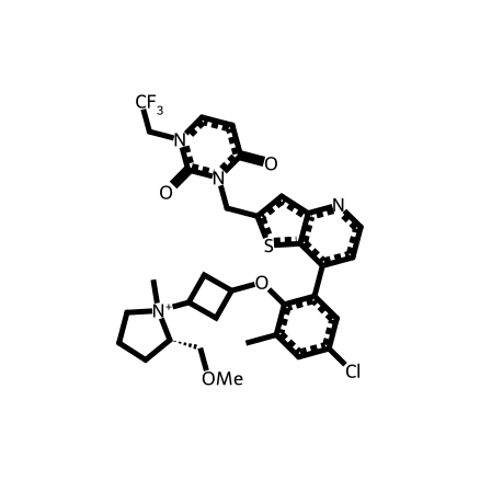 COC[C@@H]1CCC[N+]1(C)C1CC(Oc2c(C)cc(Cl)cc2-c2ccnc3cc(Cn4c(=O)ccn(CC(F)(F)F)c4=O)sc23)C1